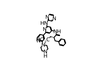 C=C(Nc1cc(Nc2cnccn2)nc(-c2ccnc(N3CCNCC3)c2)c1)[C@H](CC(=O)O)Cc1ccccc1